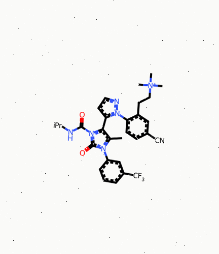 Cc1c(-c2ccnn2-c2ccc(C#N)cc2CC[N+](C)(C)C)n(C(=O)NC(C)C)c(=O)n1-c1cccc(C(F)(F)F)c1